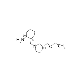 CCOC[C@@H]1CCCN(C[C@@H]2CCCC[C@H]2N)C1